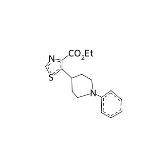 CCOC(=O)c1ncsc1C1CCN(c2ccccc2)CC1